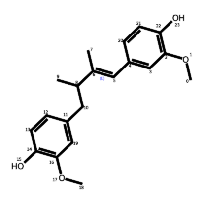 COc1cc(/C=C(\C)C(C)Cc2ccc(O)c(OC)c2)ccc1O